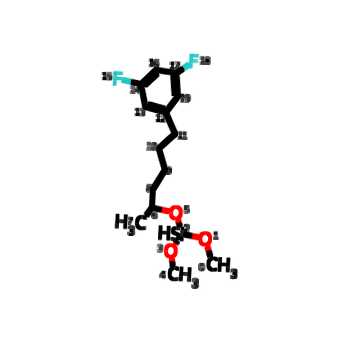 CO[SiH](OC)OC(C)CCCCc1cc(F)cc(F)c1